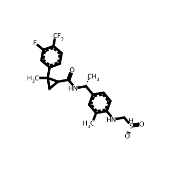 Cc1cc([C@@H](C)NC(=O)C2CC2(C)c2ccc(C(F)(F)F)c(F)c2)ccc1NC[SH](=O)=O